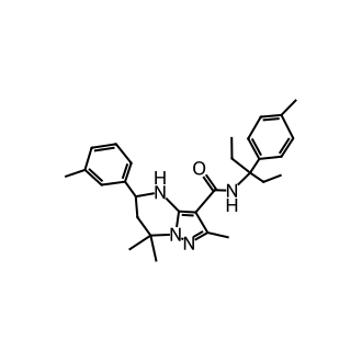 CCC(CC)(NC(=O)c1c(C)nn2c1NC(c1cccc(C)c1)CC2(C)C)c1ccc(C)cc1